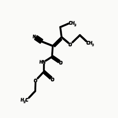 CCOC(=O)NC(=O)/C(C#N)=C(/CC)OCC